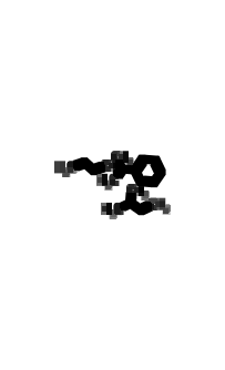 C=C(C)c1ccccc1.C=CC(=C)C.C=CC=C